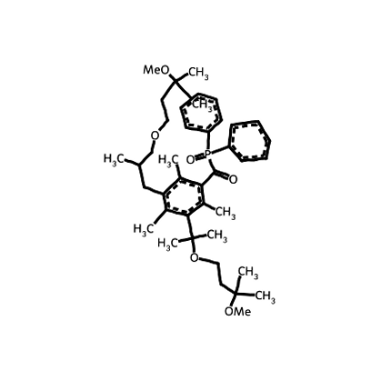 COC(C)(C)CCOCC(C)Cc1c(C)c(C(=O)P(=O)(c2ccccc2)c2ccccc2)c(C)c(C(C)(C)OCCC(C)(C)OC)c1C